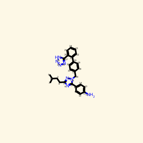 CC(C)CCc1nc(-c2ccc(N)cc2)n(Cc2ccc(-c3ccccc3-c3nnn[nH]3)cc2)n1